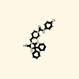 N=C1NC(c2ccccc2)(c2ccccc2)C(=O)N1CC1CCN(C(=O)Nc2ccc(Cl)cc2)CC1